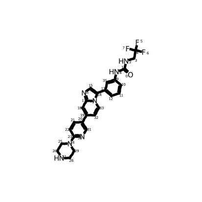 O=C(NCC(F)(F)F)Nc1cccc(-c2cnc3cc(-c4ccc(N5CCNCC5)nc4)ccn23)c1